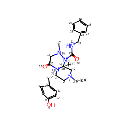 CCCCCCN1C[C@H](Cc2ccc(O)cc2)N2C(=O)CN(C)N(C(=O)NCc3ccccc3)[C@H]2C1